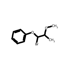 COC(C)C(Br)Oc1ccccc1